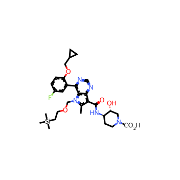 Cc1c(C(=O)N[C@@H]2CCN(C(=O)O)C[C@H]2O)c2ncnc(-c3cc(F)ccc3OCC3CC3)c2n1COCC[Si](C)(C)C